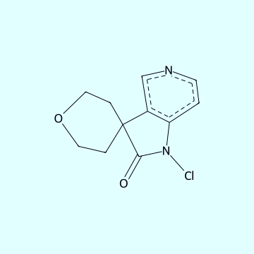 O=C1N(Cl)c2ccncc2C12CCOCC2